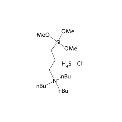 CCCC[N+](CCCC)(CCCC)CCC[Si](OC)(OC)OC.[Cl-].[SiH4]